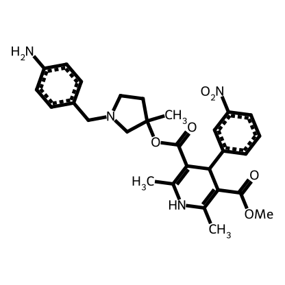 COC(=O)C1=C(C)NC(C)=C(C(=O)OC2(C)CCN(Cc3ccc(N)cc3)C2)C1c1cccc([N+](=O)[O-])c1